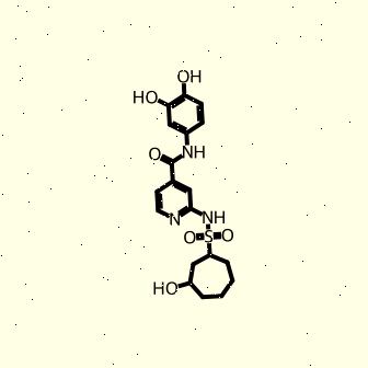 O=C(Nc1ccc(O)c(O)c1)c1ccnc(NS(=O)(=O)C2CCCCC(O)C2)c1